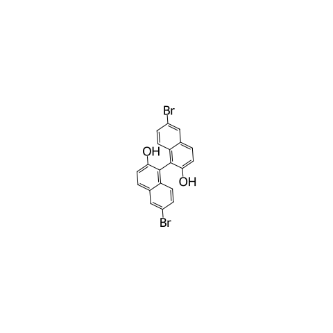 Oc1ccc2cc(Br)ccc2c1-c1c(O)ccc2cc(Br)ccc12